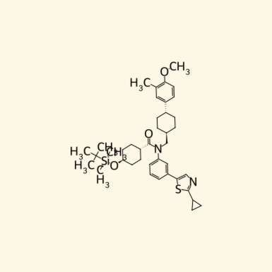 COc1ccc([C@H]2CC[C@H](CN(c3cccc(-c4cnc(C5CC5)s4)c3)C(=O)[C@H]3CC[C@H](O[Si](C)(C)C(C)(C)C)CC3)CC2)cc1C